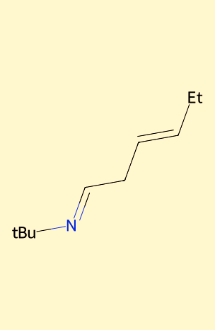 CCC=CCC=NC(C)(C)C